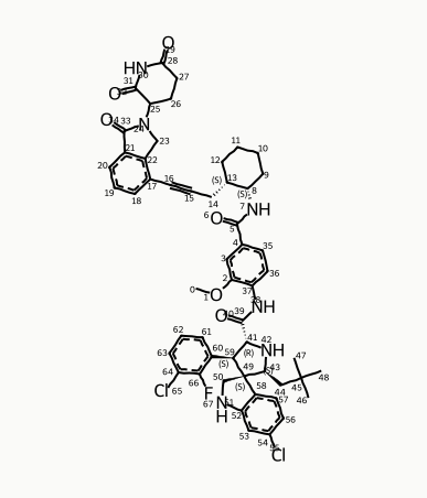 COc1cc(C(=O)N[C@H]2CCCC[C@H]2CC#Cc2cccc3c2CN(C2CCC(=O)NC2=O)C3=O)ccc1NC(=O)[C@@H]1N[C@@H](CC(C)(C)C)[C@@]2(CNc3cc(Cl)ccc32)[C@H]1c1cccc(Cl)c1F